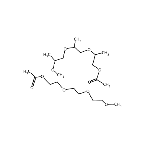 COC(C)COC(C)COC(C)COC(C)=O.COCCOCCOCCOC(C)=O